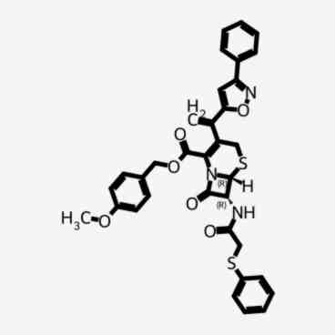 C=C(C1=C(C(=O)OCc2ccc(OC)cc2)N2C(=O)[C@@H](NC(=O)CSc3ccccc3)[C@H]2SC1)c1cc(-c2ccccc2)no1